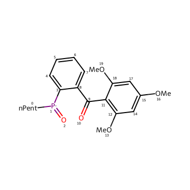 CCCCC[P](=O)c1ccccc1C(=O)c1c(OC)cc(OC)cc1OC